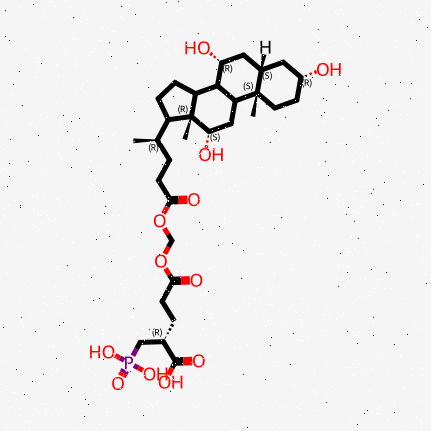 C[C@H](CCC(=O)OCOC(=O)CC[C@@H](CP(=O)(O)O)C(=O)O)C1CCC2C3C(C[C@H](O)[C@@]21C)[C@@]1(C)CC[C@@H](O)C[C@H]1C[C@H]3O